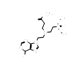 CCOP(=O)(CCN(CCC(=O)OC)CCn1cnc2c1N=CNC2Cl)OCC